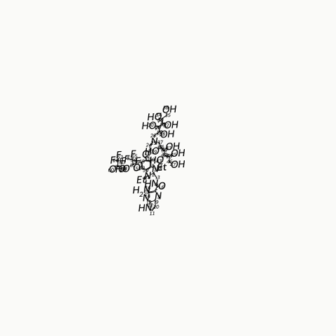 CCn1c(CNC(=O)c2nc3cc[nH]c3nc2N)[n+](CC)c2cc(OCCN(C[C@H](O)[C@@H](O)[C@H](O)[C@H](O)CO)C[C@H](O)[C@@H](O)[C@H](O)[C@H](O)CO)ccc21.O=C(O)C(F)(F)F.O=C([O-])C(F)(F)F